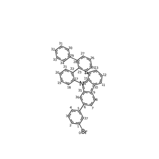 Brc1cccc(-c2ccc3c4ccccc4n(-c4ccccc4-c4ccccc4-c4ccccc4)c3c2)c1